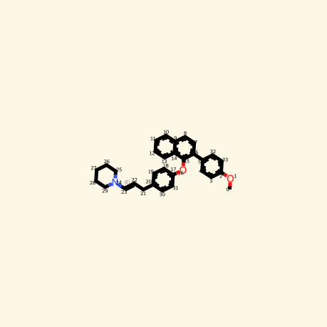 COc1ccc(-c2ccc3ccccc3c2Oc2ccc(C/C=C/N3CCCCC3)cc2)cc1